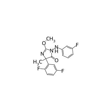 COC1=NC(C)(c2cc(F)ccc2F)C(=O)N1Nc1cccc(F)c1